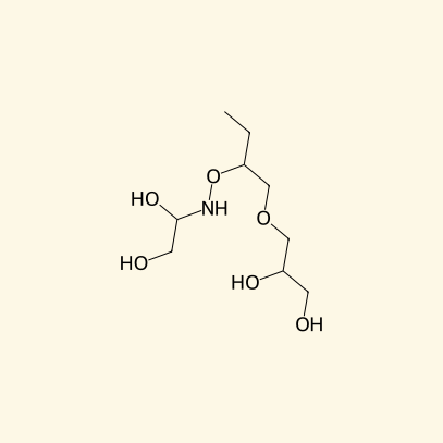 CCC(COCC(O)CO)ONC(O)CO